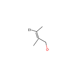 CC/C(C)=C(\C)C[O]